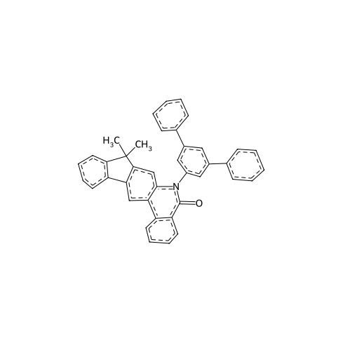 CC1(C)c2ccccc2-c2cc3c4ccccc4c(=O)n(-c4cc(-c5ccccc5)cc(-c5ccccc5)c4)c3cc21